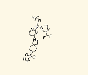 C=N/C=C(/c1nccc(N2CCC3(CCN(S(C)(=O)=O)CC3)C2)n1)N1C=C(C(F)F)N=CC1